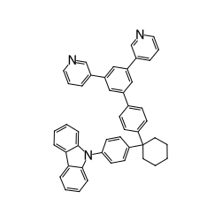 c1cncc(-c2cc(-c3ccc(C4(c5ccc(-n6c7ccccc7c7ccccc76)cc5)CCCCC4)cc3)cc(-c3cccnc3)c2)c1